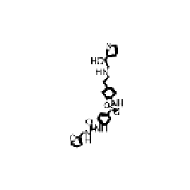 O=C(NCc1ccco1)Nc1ccc(S(=O)(=O)Nc2ccc(CCNCC(O)c3cccnc3)cc2)cc1